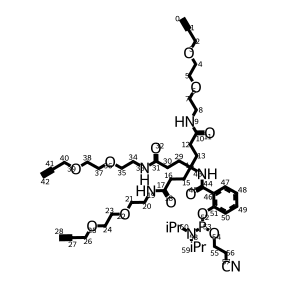 C#CCOCCOCCNC(=O)CCC(CCC(=O)NCCOCCOCC#C)(CCC(=O)NCCOCCOCC#C)NC(=O)c1ccccc1OP(OCCC#N)N(C(C)C)C(C)C